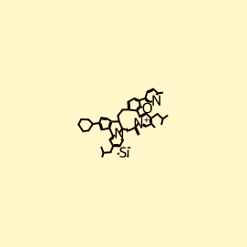 C=C1CC2C(CCc3ccc4c(oc5nc(C)ccc54)c3-c3cc(CC(C)C)c(C)c[n+]31)c1ccc(C3CCCCC3)cc1-c1cc(CC(C)C)c([Si](C)(C)C)c[n+]12